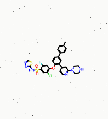 Cc1ccc(-c2ccc(Oc3cc(F)c(S(=O)(=O)Nc4nncs4)cc3Cl)c(-c3ccnc(N4CCNCC4)c3)c2)cc1